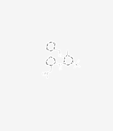 CNCc1ccccc1Pc1cc(C(C)(C)C)cc(C)c1OCc1ccccc1